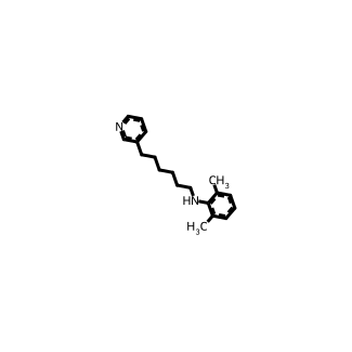 Cc1cccc(C)c1NCCCCCCc1cccnc1